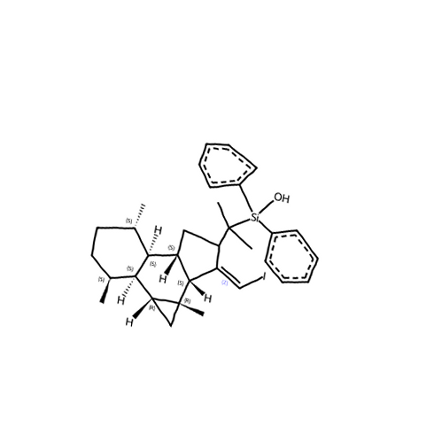 C[C@H]1CC[C@H](C)[C@H]2[C@@H]1[C@@H]1CC(C(C)(C)[Si](O)(c3ccccc3)c3ccccc3)/C(=C\I)[C@@H]1[C@]1(C)C[C@H]21